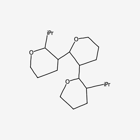 CC(C)C1CCCOC1C1CCCOC1C1CCCOC1C(C)C